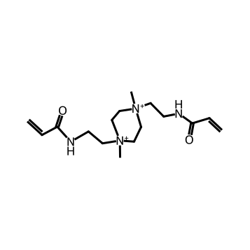 C=CC(=O)NCC[N+]1(C)CC[N+](C)(CCNC(=O)C=C)CC1